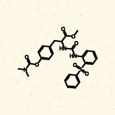 COC(=O)C(Cc1ccc(OC(=O)N(C)C)cc1)NC(=O)Nc1ccccc1S(=O)(=O)c1ccccc1